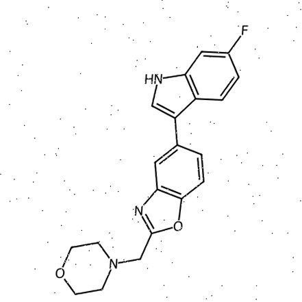 Fc1ccc2c(-c3ccc4oc(CN5CCOCC5)nc4c3)c[nH]c2c1